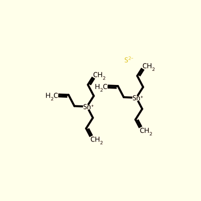 C=C[CH2][Sn+]([CH2]C=C)[CH2]C=C.C=C[CH2][Sn+]([CH2]C=C)[CH2]C=C.[S-2]